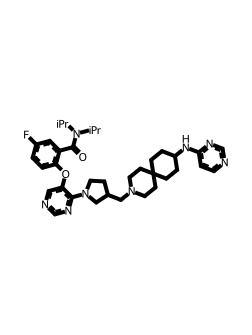 CC(C)N(C(=O)c1cc(F)ccc1Oc1cncnc1N1CCC(CN2CCC3(CCC(Nc4ccncn4)CC3)CC2)C1)C(C)C